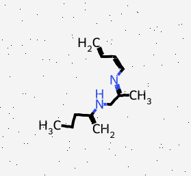 C=C/C=C\N=C(/C)CNC(=C)CCC